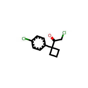 O=C(CCl)C1(c2ccc(Cl)cc2)CCC1